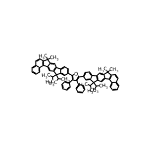 CC(C)C1(C(C)C)c2cc(-c3oc(-c4ccc5c(c4)C(C(C)C)(C(C)C)c4cc6c(cc4-5)C(C)(C)c4ccc5ccccc5c4-6)c(-c4ccccc4)c3-c3ccccc3)ccc2-c2cc3c(cc21)-c1c(ccc2ccccc12)C3(C)C